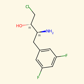 N[C@@H](Cc1cc(F)cc(F)c1)[C@H](O)CCl